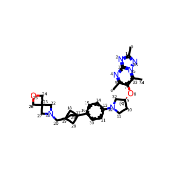 Cc1nc2nc(C)c(O[C@@H]3CCN(c4ccc(C56CC(CN7CC8(COC8)C7)(C5)C6)cc4)C3)c(C)n2n1